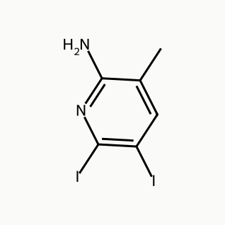 Cc1cc(I)c(I)nc1N